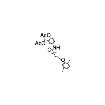 CC(=O)Oc1ccc(NC(=O)C(C)(C)CCCOc2cc(C)ccc2C)cc1C(C)OC(C)=O